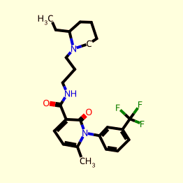 CCC1CCCCN1CCCNC(=O)c1ccc(C)n(-c2cccc(C(F)(F)F)c2)c1=O